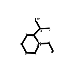 CCN1CCCCC1C(C)I